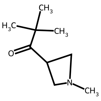 CN1CC(C(=O)C(C)(C)C)C1